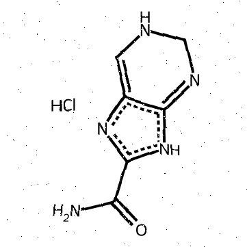 Cl.NC(=O)c1nc2c([nH]1)=NCNC=2